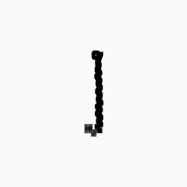 C1CO1.CCCCCCCCCCCCCCCCCCN